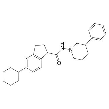 O=C(NN1CCCC(c2ccccc2)C1)C1CCc2cc(C3CCCCC3)ccc21